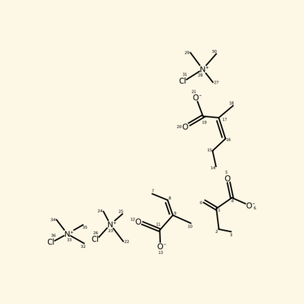 C=C(CC)C(=O)[O-].CC=C(C)C(=O)[O-].CCC=C(C)C(=O)[O-].C[N+](C)(C)Cl.C[N+](C)(C)Cl.C[N+](C)(C)Cl